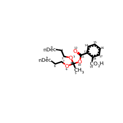 CCCCCCCCCCCCOC(C)(OCCCCCCCCCCCC)OC(=O)c1ccccc1C(=O)O